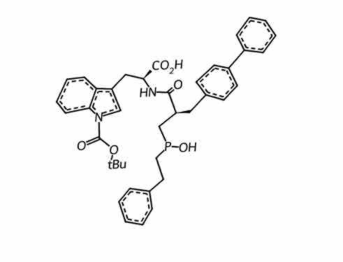 CC(C)(C)OC(=O)n1cc(C[C@H](NC(=O)[C@@H](Cc2ccc(-c3ccccc3)cc2)CP(O)CCc2ccccc2)C(=O)O)c2ccccc21